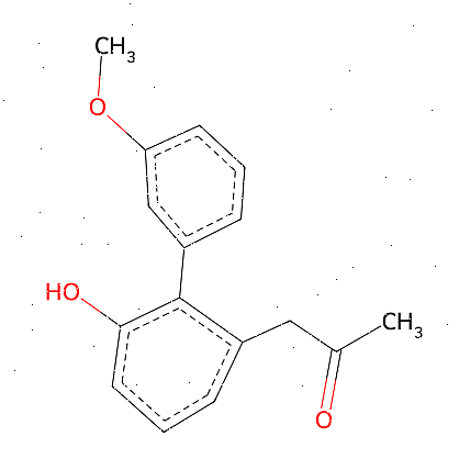 COc1cccc(-c2c(O)cccc2CC(C)=O)c1